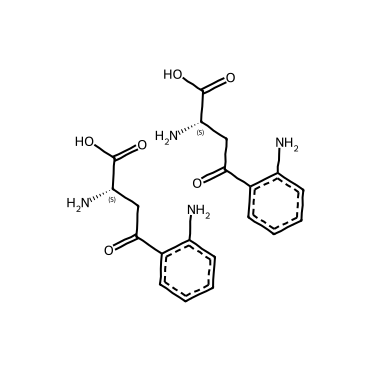 Nc1ccccc1C(=O)C[C@H](N)C(=O)O.Nc1ccccc1C(=O)C[C@H](N)C(=O)O